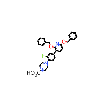 O=C(O)N1CCN(c2ccc(-c3ccc(OCc4ccccc4)nc3OCc3ccccc3)cc2F)CC1